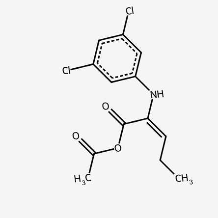 CCC=C(Nc1cc(Cl)cc(Cl)c1)C(=O)OC(C)=O